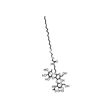 CCCCCCCCCCCCCCCCCOCCOCC(=O)NCCCO[C@@H]1OC(CO)[C@H](O)[C@H](O[C@@H]2OC(CO)[C@H](O)[C@H](O)C2NC(C)=O)C1O[C@@H]1OC(C)[C@@H](O)[C@H](O)C1O